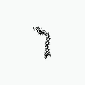 C[C@@H]1CNC(=O)c2cc3ccc(C(=O)Nc4cnn(Cc5ccc(N6CCC(N(C)Cc7ccc(C8CCC(=O)NC8=O)cc7)CC6)cc5)c4)nc3n21